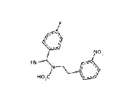 CC(C)(C)C(c1ccc(F)cc1)N(CCc1cccc([N+](=O)[O-])c1)C(=O)O